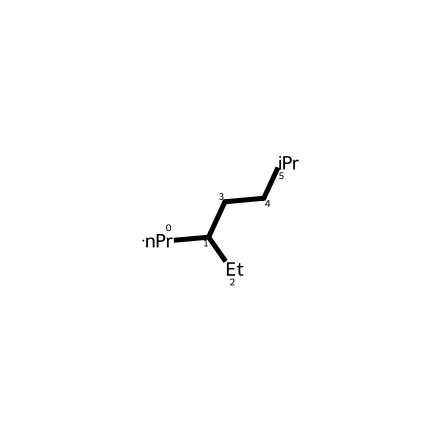 CC[CH]C(CC)CCC(C)C